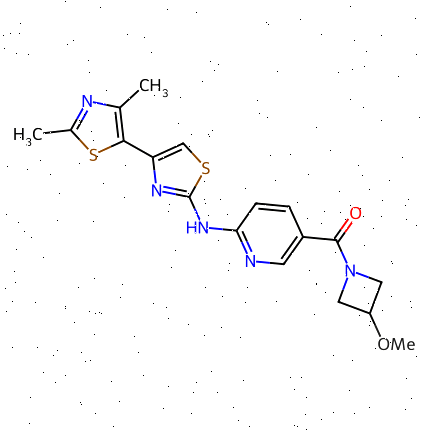 COC1CN(C(=O)c2ccc(Nc3nc(-c4sc(C)nc4C)cs3)nc2)C1